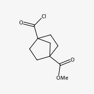 COC(=O)C12CCC(C(=O)Cl)(CC1)C2